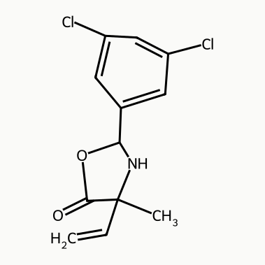 C=CC1(C)NC(c2cc(Cl)cc(Cl)c2)OC1=O